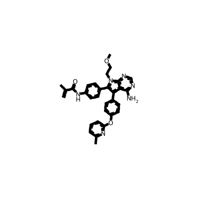 C=C(C)C(=O)Nc1ccc(-c2c(-c3ccc(Oc4cccc(C)n4)cc3)c3c(N)ncnc3n2CCOC)cc1